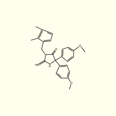 COc1ccc(C2(c3ccc(OC)cc3)NC(=N)N(Cc3cccc(C)c3C)C2=O)cc1